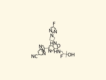 CC(C)(O)C(F)CNC(=O)c1cnc(-c2cnc3cc(C#N)cnn23)cc1NC1CCN(c2ncc(F)cn2)C1